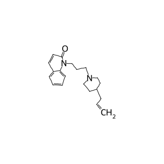 C=CCC1CCN(CCCn2c(=O)ccc3ccccc32)CC1